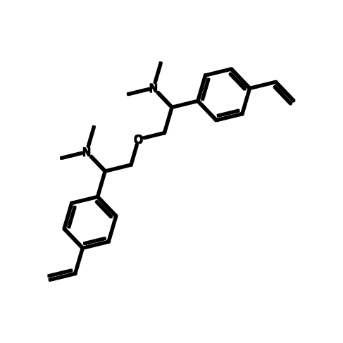 C=Cc1ccc(C(COCC(c2ccc(C=C)cc2)N(C)C)N(C)C)cc1